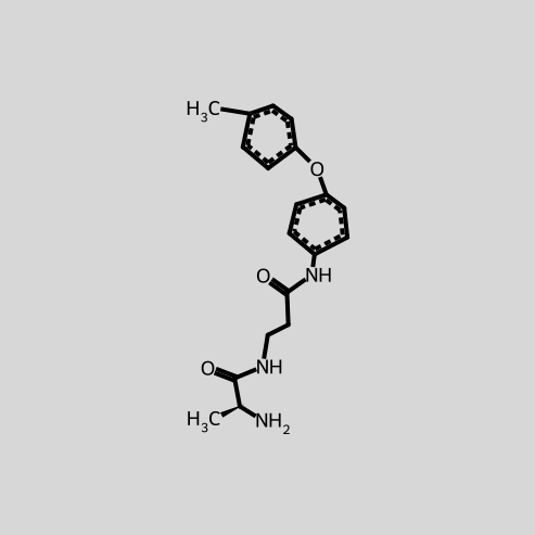 Cc1ccc(Oc2ccc(NC(=O)CCNC(=O)[C@H](C)N)cc2)cc1